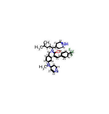 CC(C)CCC(C1CCNCC1)N(Cc1ccc(N(C)c2ccncc2)cc1)C(=O)C=Cc1ccc(C(F)(F)F)cc1